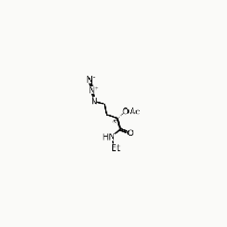 CCNC(=O)[C@H](CCN=[N+]=[N-])OC(C)=O